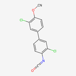 N#COc1ccc(-c2ccc(N=C=O)c(Cl)c2)cc1Cl